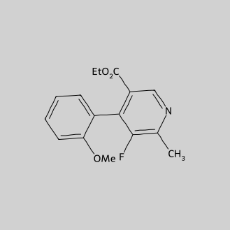 CCOC(=O)c1cnc(C)c(F)c1-c1ccccc1OC